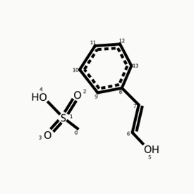 CS(=O)(=O)O.OC=Cc1ccccc1